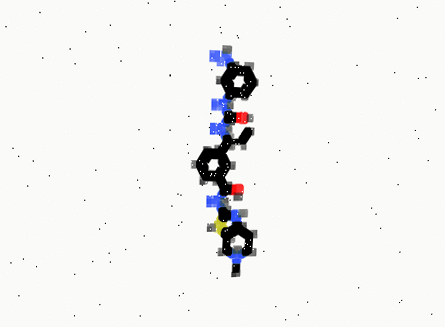 CC[C@@H](NC(=O)Nc1cccc(N)c1)c1cccc(C(=O)Nc2nc3c(s2)CN(C)CC3)c1